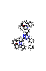 c1ccc(-c2cccc(-c3nc(-c4ccc(-n5c6ccccc6c6ccccc65)c(-c5ccccc5)c4)nc(-c4ccc(-c5ccccc5)c(-n5c6ccccc6c6ccccc65)c4)n3)c2)cc1